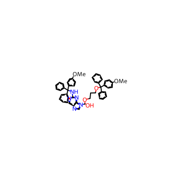 COc1ccc(C(Nc2ncc3ncn(C(O)OCCCOC(c4ccccc4)(c4ccccc4)c4ccc(OC)cc4)c3n2)(c2ccccc2)c2ccccc2)cc1